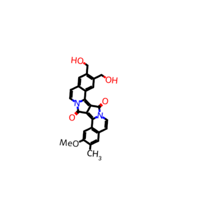 COc1cc2c(cc1C)C=CN1C(=O)C3=C4c5cc(CO)c(CO)cc5C=CN4C(=O)C3=C21